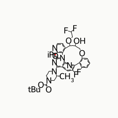 CC(C)c1nccc2c1-n1c(=O)nc(N3CCN(C(=O)OC(C)(C)C)C[C@@H]3C)c3cc(F)c(nc31)-c1c(F)cccc1OCC(O)C2OCC(F)F